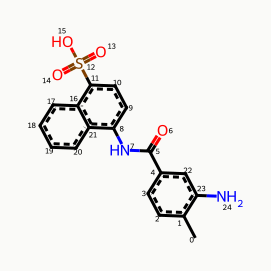 Cc1ccc(C(=O)Nc2ccc(S(=O)(=O)O)c3ccccc23)cc1N